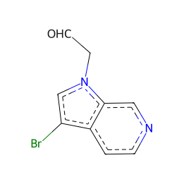 O=CCn1cc(Br)c2ccncc21